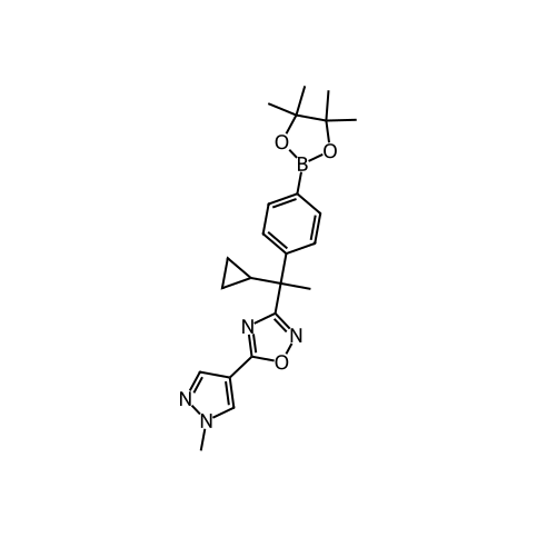 Cn1cc(-c2nc(C(C)(c3ccc(B4OC(C)(C)C(C)(C)O4)cc3)C3CC3)no2)cn1